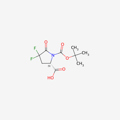 CC(C)(C)OC(=O)N1C(=O)C(F)(F)C[C@H]1C(=O)O